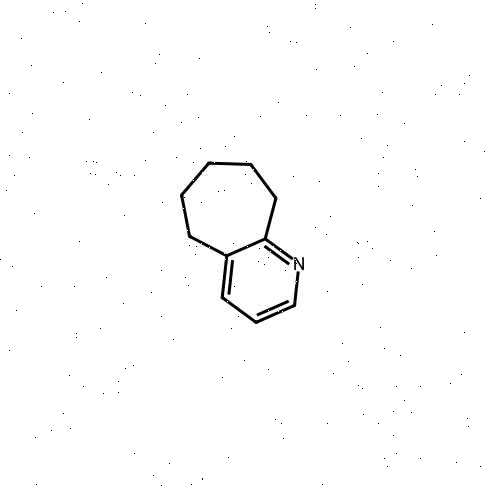 c1cnc2c(c1)CCCCC2